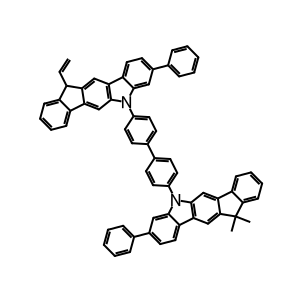 C=CC1c2ccccc2-c2cc3c(cc21)c1ccc(-c2ccccc2)cc1n3-c1ccc(-c2ccc(-n3c4cc(-c5ccccc5)ccc4c4cc5c(cc43)-c3ccccc3C5(C)C)cc2)cc1